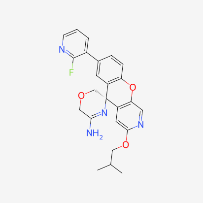 CC(C)COc1cc2c(cn1)Oc1ccc(-c3cccnc3F)cc1[C@@]21COCC(N)=N1